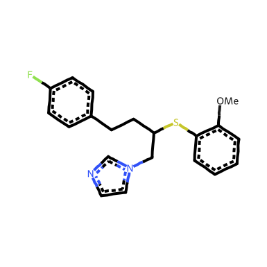 COc1ccccc1SC(CCc1ccc(F)cc1)Cn1ccnc1